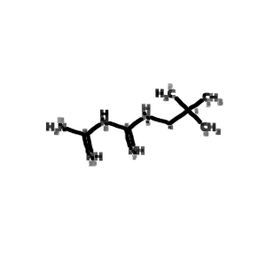 CC(C)(C)CNC(=N)NC(=N)N